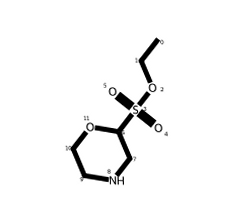 CCOS(=O)(=O)C1CNCCO1